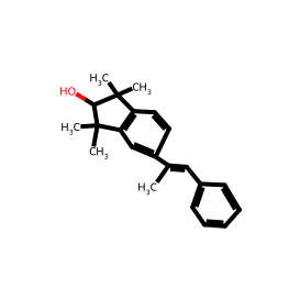 CC(=Cc1ccccc1)c1ccc2c(c1)C(C)(C)C(O)C2(C)C